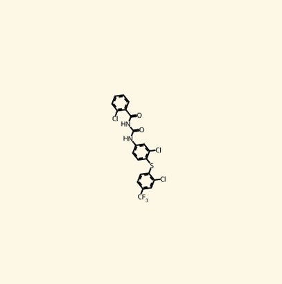 O=C(NC(=O)c1ccccc1Cl)Nc1ccc(Sc2ccc(C(F)(F)F)cc2Cl)c(Cl)c1